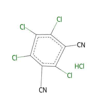 Cl.N#Cc1c(Cl)c(Cl)c(Cl)c(C#N)c1Cl